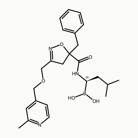 Cc1cc(COCC2=NOC(Cc3ccccc3)(C(=O)N[C@@H](CC(C)C)B(O)O)C2)ccn1